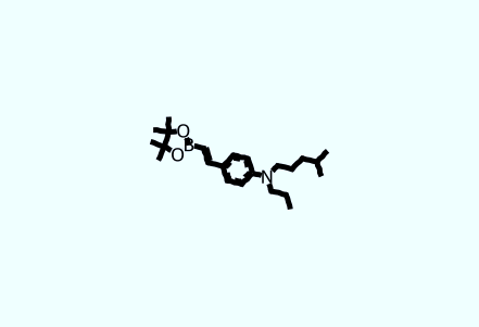 CCCN(CCCC(C)C)c1ccc(/C=C/B2OC(C)(C)C(C)(C)O2)cc1